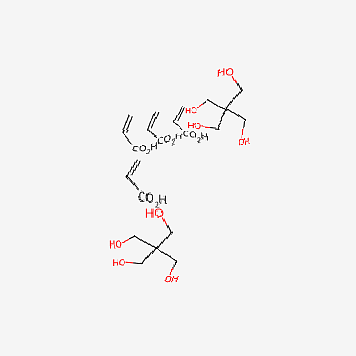 C=CC(=O)O.C=CC(=O)O.C=CC(=O)O.C=CC(=O)O.OCC(CO)(CO)CO.OCC(CO)(CO)CO